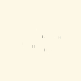 OB(O)F.S.S